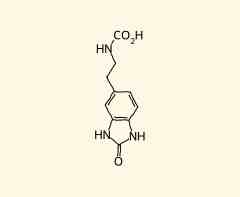 O=C(O)NCCc1ccc2[nH]c(=O)[nH]c2c1